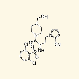 N#Cc1cccn1CCC(NS(=O)(=O)c1c(Cl)cccc1Cl)C(=O)N1CCC(CO)CC1